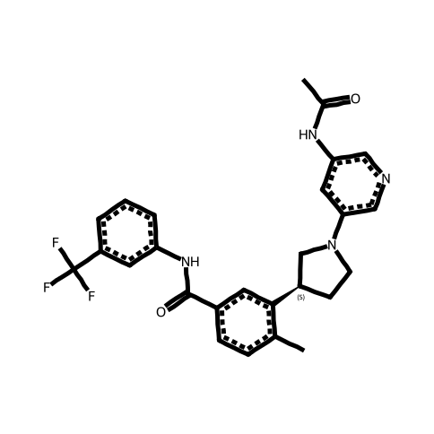 CC(=O)Nc1cncc(N2CC[C@@H](c3cc(C(=O)Nc4cccc(C(F)(F)F)c4)ccc3C)C2)c1